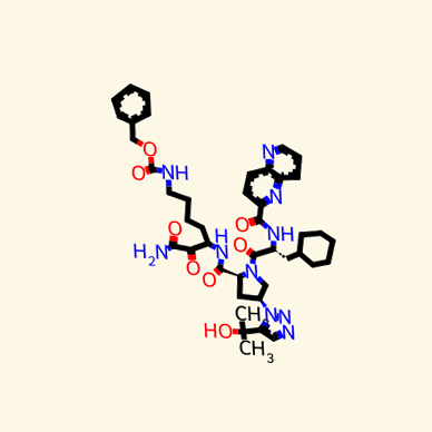 CC(C)(O)c1cnnn1[C@H]1C[C@@H](C(=O)NC(CCCCNC(=O)OCc2ccccc2)C(=O)C(N)=O)N(C(=O)[C@@H](CC2CCCCC2)NC(=O)c2ccc3ncccc3n2)C1